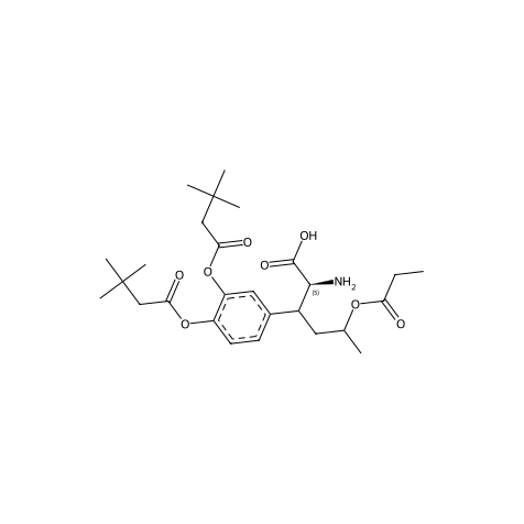 CCC(=O)OC(C)CC(c1ccc(OC(=O)CC(C)(C)C)c(OC(=O)CC(C)(C)C)c1)[C@H](N)C(=O)O